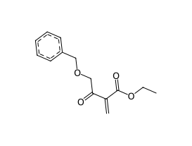 C=C(C(=O)COCc1ccccc1)C(=O)OCC